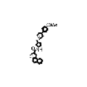 COc1ccc(C2CCN(CC3CCC(NC(=O)C4=Cc5c(ccc6ccccc56)OC4)C3)CC2)cc1